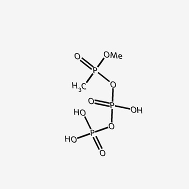 COP(C)(=O)OP(=O)(O)OP(=O)(O)O